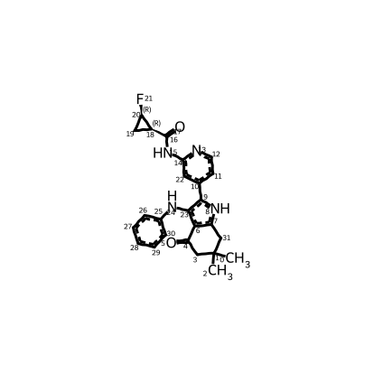 CC1(C)CC(=O)c2c([nH]c(-c3ccnc(NC(=O)[C@H]4C[C@H]4F)c3)c2Nc2ccccc2)C1